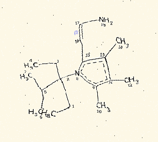 CCC(CC)(C(C)C)n1c(C)c(C)c(C)c1/C=C\N